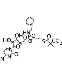 CCOC(=O)C(C)(C)C(=O)SCCOP(=O)(NCc1ccccc1)OC[C@H]1O[C@@H](n2ccc(N)nc2=O)[C@H](O)C1O